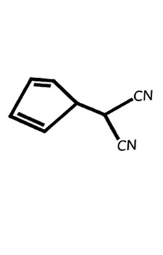 N#CC(C#N)C1C=CC=C1